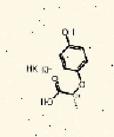 C[C@@H](Oc1ccc(O)cc1)C(=O)O.[KH].[KH]